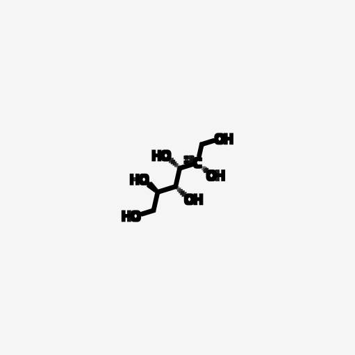 OC[C@@H](O)[C@@H](O)[C@H](O)[13C@@H](O)CO